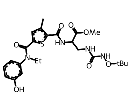 CCN(C(=O)c1cc(C)c(C(=O)NC(CNC(=O)NOC(C)(C)C)C(=O)OC)s1)c1cccc(O)c1